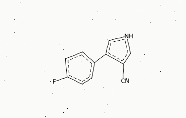 N#Cc1c[nH]cc1-c1ccc(F)cc1